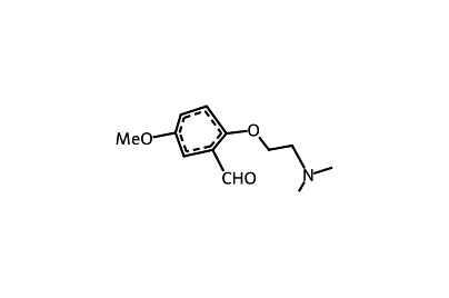 COc1ccc(OCCN(C)C)c(C=O)c1